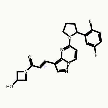 O=C(/C=C/c1cnn2ccc(N3CCCC3c3cc(F)ccc3F)nc12)N1CC(O)C1